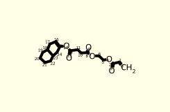 C=CC(=O)OCCOC(=O)CCC(=O)OC1=CCC2CCCCC2C1